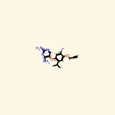 C#CCOc1cc(C(C)C)c(Oc2cnc(N)nc2N)cc1I